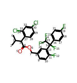 CC(C)C(C(=O)OCc1ccc(F)c(C(F)(c2ccc(F)cc2)C(F)F)c1)c1ccc(Cl)cc1Cl